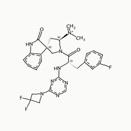 C=[N+](C)[C@@H]1C[C@@]2(CN1C(=O)[C@H](Cc1cccc(F)c1)Nc1ncnc(N3CC(F)(F)C3)n1)C(=O)Nc1ccccc12